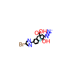 [N-]=[N+]=N[C@@H]1C[C@@](Cc2cc(-c3ncc(Br)cn3)ccc2F)(C(=O)O)C[C@H]1O